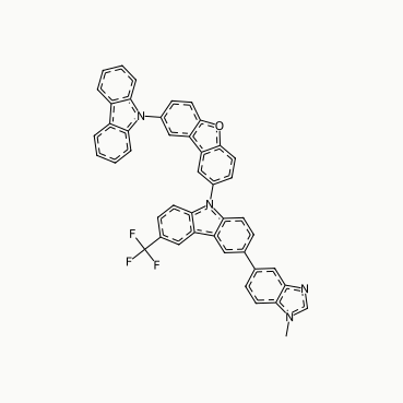 Cn1cnc2cc(-c3ccc4c(c3)c3cc(C(F)(F)F)ccc3n4-c3ccc4oc5ccc(-n6c7ccccc7c7ccccc76)cc5c4c3)ccc21